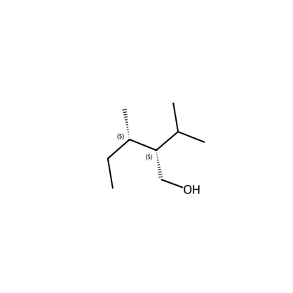 CC[C@H](C)[C@@H](CO)C(C)C